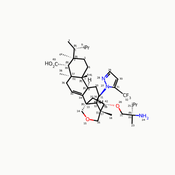 CC(C)[C@@H](C)[C@@]1(C)CC[C@]2(C)[C@H]3CC[C@@H]4[C@@]5(COC[C@@]4(C)[C@@H](OC[C@](C)(N)C(C)C)[C@H](n4nccc4C(F)(F)F)C5)C3=CC[C@@]2(C)[C@@H]1C(=O)O